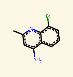 Cc1cc(N)c2cccc(Br)c2n1